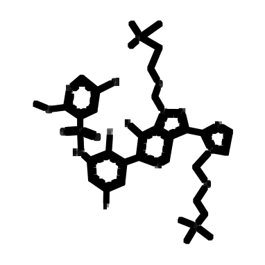 COc1ncc(Cl)cc1S(=O)(=O)Nc1cc(F)cc(-c2ncc3c(-c4nccn4COCC[Si](C)(C)C)nn(COCC[Si](C)(C)C)c3c2F)c1F